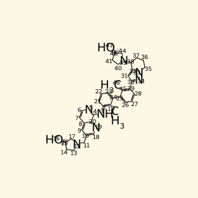 Cc1c(Nc2nccc3cc(CN4CC[C@@H](O)C4)cnc23)cccc1-c1cccc(-c2cc3n(n2)CCCC3N2CC[C@@H](O)C2)c1C